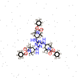 CC1(C)CC(Nc2nc(NC3CC(C)(C)N(C(=O)Oc4ccccc4)C(C)(C)C3)nc(NC3CC(C)(C)N(C(=O)Oc4ccccc4)C(C)(C)C3)n2)CC(C)(C)N1C(=O)Oc1ccccc1